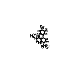 N#Cc1cnc2c([N+](=O)[O-])cccc2c1Nc1ccc(F)c(Br)c1